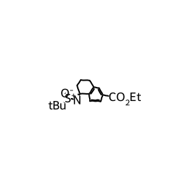 CCOC(=O)c1ccc2c(c1)CCC/C2=N\[S@+]([O-])C(C)(C)C